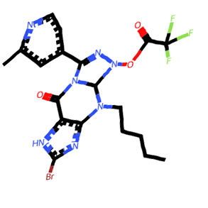 CCCCCN1c2nc(Br)[nH]c2C(=O)N2C(c3ccnc(C)c3)=NN(OC(=O)C(F)(F)F)C21